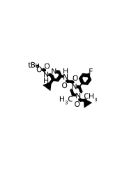 C[C@@H]1CN(C(=O)C(=O)Nc2cnc(NC(=O)OC(C)(C)C)c(C3CC3)c2)[C@@H](c2ccc(F)cc2)CN1C(=O)C1(C)CC1